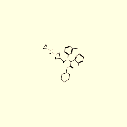 O=C(NC1CCCCC1)C(c1ccccc1Cl)N(C(=O)C1CN(S(=O)(=O)N2CC2)C1)c1cccc(F)c1